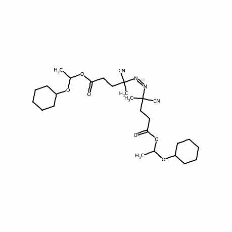 CC(OC(=O)CCC(C)(C#N)/N=N\C(C)(C#N)CCC(=O)OC(C)OC1CCCCC1)OC1CCCCC1